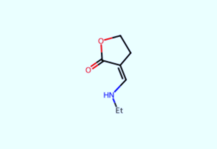 CCNC=C1CCOC1=O